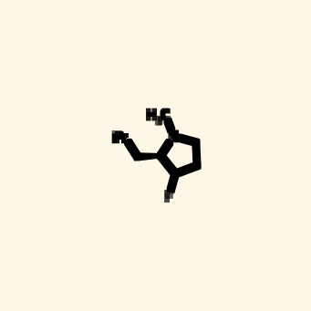 CC(C)C[C@@H]1C(F)CCN1C